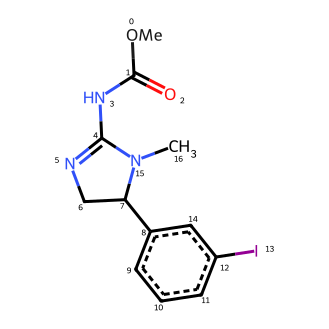 COC(=O)NC1=NCC(c2cccc(I)c2)N1C